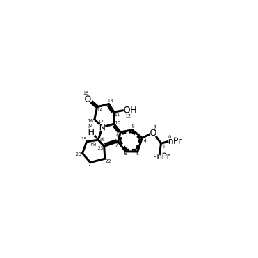 CCCC(CCC)Oc1ccc2c(c1)=C1C(O)=CC(=O)CN1[C@H]1CCCCC=21